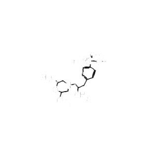 CC(Cc1ccc([Si](C)(C)C)cc1)CN1CC(C)OC(C)C1